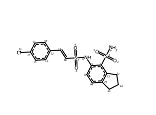 NS(=O)(=O)c1c(NS(=O)(=O)/C=C/c2ccc(Cl)cc2)ccc2c1CCC2